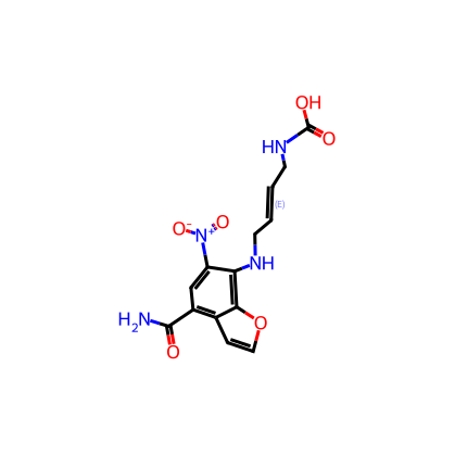 NC(=O)c1cc([N+](=O)[O-])c(NC/C=C/CNC(=O)O)c2occc12